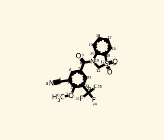 COc1c(C#N)cc(C(=O)N2CS(=O)(=O)c3ccccc32)cc1C(F)(F)F